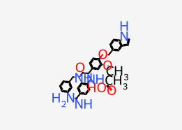 CC(=O)O.COc1cc(C(Nc2ccc(C(=N)N)cc2)C(=O)NCc2ccccc2)ccc1OCc1ccc2[nH]ccc2c1